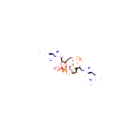 CC1(O[Si](C)(C)C(C)(C)C)C2COP(=O)(O)OC3C(COP(=O)(O)OC1C(n1cnc4c(=O)[nH]c(N)nc41)O2)OC(n1cnc2c(N)ncnc21)C3O[Si](C)(C)C(C)(C)C